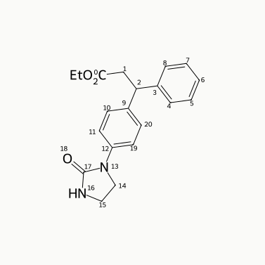 CCOC(=O)CC(c1ccccc1)c1ccc(N2CCNC2=O)cc1